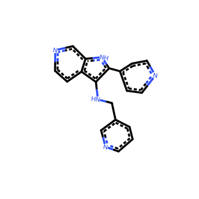 c1cncc(CNc2c(-c3ccncc3)[nH]c3cnccc23)c1